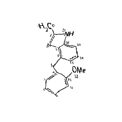 [CH2]c1nc2c(Cc3ccccc3OC)cccc2[nH]1